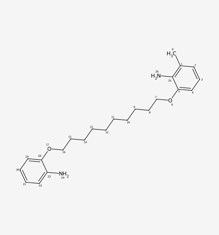 Cc1cccc(OCCCCCCCCCCOc2ccccc2N)c1N